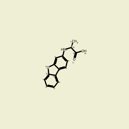 C[C@H](Nc1ccc2c(c1)oc1ccccc12)C(=O)O